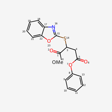 COC(=O)C(CC(=O)Oc1ccccc1)Sc1nc2ccccc2o1